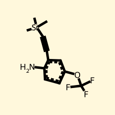 C[Si](C)(C)C#Cc1cc(OC(F)(F)F)ccc1N